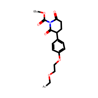 CC(=O)COCCOc1ccc(C2CCC(=O)N(C(=O)OC(C)(C)C)C2=O)cc1